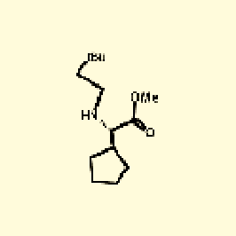 COC(=O)[C@@H](NCCC(C)(C)C)C1CCCC1